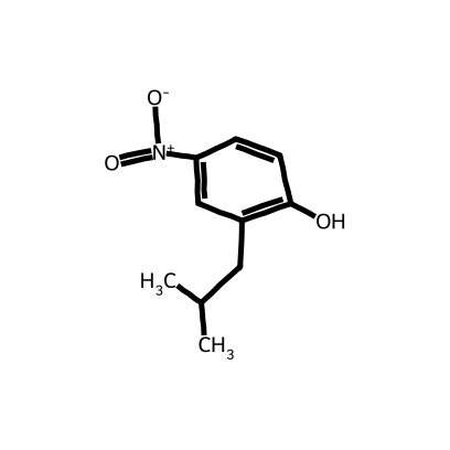 CC(C)Cc1cc([N+](=O)[O-])ccc1O